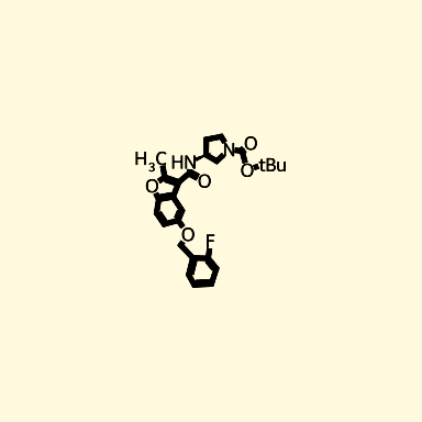 Cc1oc2ccc(OCc3ccccc3F)cc2c1C(=O)N[C@H]1CCN(C(=O)OC(C)(C)C)C1